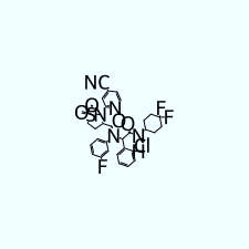 N#Cc1ccnc(N2C(C(=O)N(c3cccc(F)c3)[C@@H](C(=O)NC3CCC(F)(F)CC3)c3ccccc3Cl)CCS2(=O)=O)c1